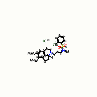 CCN(CCCN1CCc2cc(OC)c(OC)c3c2[C@H]1CC3)S(=O)(=O)c1ccccc1Cl.Cl